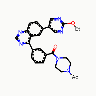 CCOc1ncc(-c2ccc3ncnc(-c4cccc(C(=O)N5CCN(C(C)=O)CC5)c4)c3c2)cn1